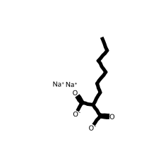 CCCCCCC(C(=O)[O-])C(=O)[O-].[Na+].[Na+]